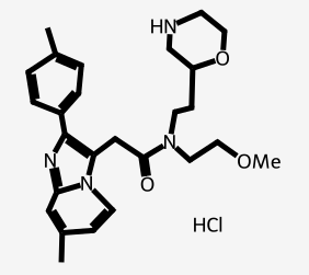 COCCN(CCC1CNCCO1)C(=O)Cc1c(-c2ccc(C)cc2)nc2cc(C)ccn12.Cl